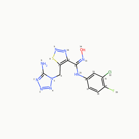 Nc1nnnn1Cc1snnc1C(=NO)Nc1ccc(F)c(Cl)c1